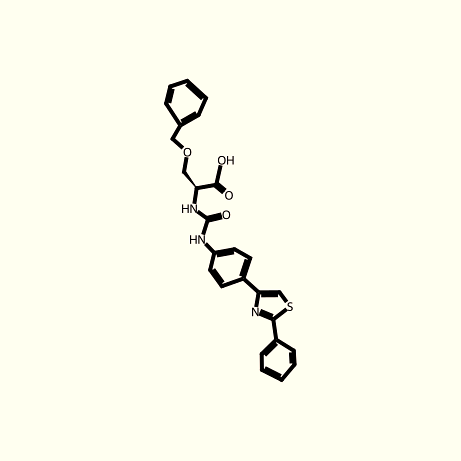 O=C(Nc1ccc(-c2csc(-c3ccccc3)n2)cc1)N[C@@H](COCc1ccccc1)C(=O)O